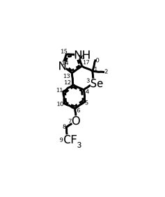 CC1(C)[Se]c2cc(OCC(F)(F)F)ccc2-c2nc[nH]c21